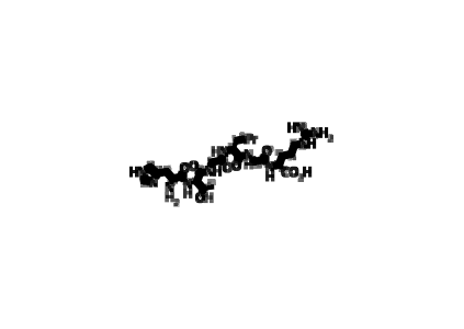 CC(C)C[C@H](NC(=O)CNC(=O)[C@@H](NC(=O)[C@@H](N)Cc1c[nH]cn1)[C@@H](C)O)C(=O)NCC(=O)N[C@@H](CCCNC(=N)N)C(=O)O